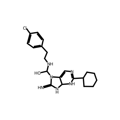 N=C1NC2NC(C3CCCCC3)=NC=C2N1C(O)NCCc1ccc(Cl)cc1